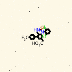 O=C(O)Cc1cc(-c2ccc(C(F)(F)F)cc2)c2c(c1)N(c1c(Cl)cccc1Cl)C(=O)NC2